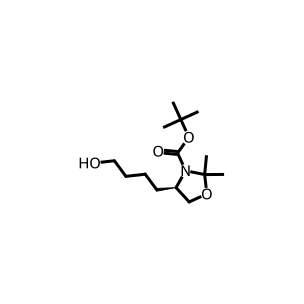 CC(C)(C)OC(=O)N1[C@H](CCCCO)COC1(C)C